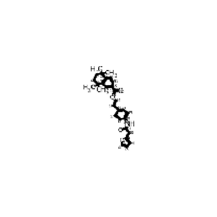 CC1(C)CCC(C)(C)c2cc(C(=O)OCCc3ccc(NC(=O)Cc4ccco4)cc3)ccc21